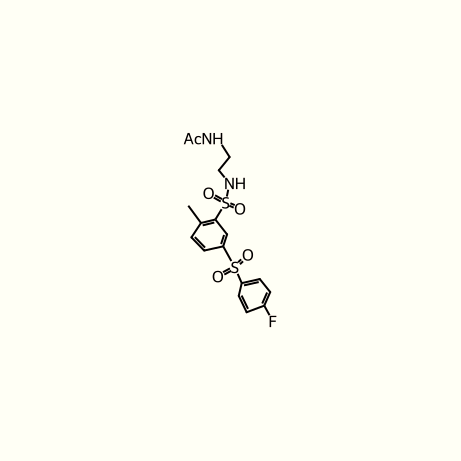 CC(=O)NCCNS(=O)(=O)c1cc(S(=O)(=O)c2ccc(F)cc2)ccc1C